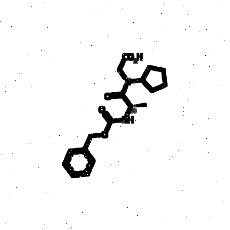 C[C@H](NC(=O)OCc1ccccc1)C(=O)N(CC(=O)O)C1CCCC1